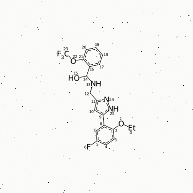 CCOc1ccc(F)cc1-c1cc(CNC(O)c2ccccc2OC(F)(F)F)n[nH]1